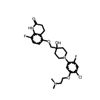 CN(C)CCOc1cc(N2CCC(O)(COc3ccc(F)c4c3CCC(=O)N4)CC2)c(F)cc1Cl